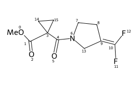 COC(=O)C1(C(=O)N2CCC(=C(F)F)C2)CC1